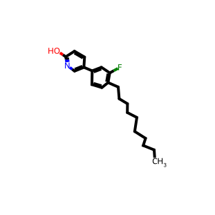 CCCCCCCCCCc1ccc(-c2ccc(O)nc2)cc1F